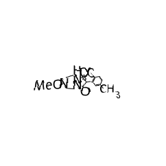 CON1CCN2C(=O)C(c3cc(C)ccc3C)C(=O)N2CC1